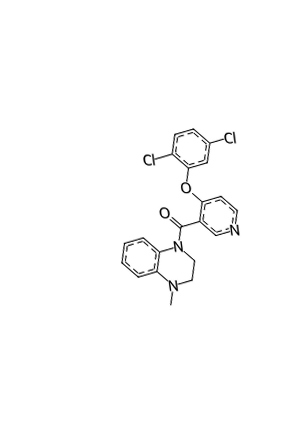 CN1CCN(C(=O)c2cnccc2Oc2cc(Cl)ccc2Cl)c2ccccc21